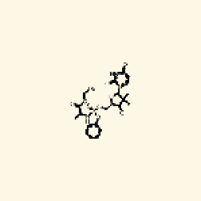 CC(NP(=S)(OC[C@H]1O[C@@H](n2ccc(=O)[nH]c2=O)C(C)(F)C1O)Oc1ccccc1)C(=O)OCC(C)(C)C